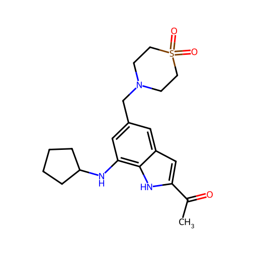 CC(=O)c1cc2cc(CN3CCS(=O)(=O)CC3)cc(NC3CCCC3)c2[nH]1